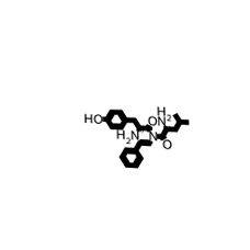 CC(C)C[C@H](N)C(=O)N(C=Cc1ccccc1)C(=O)[C@@H](N)Cc1ccc(O)cc1